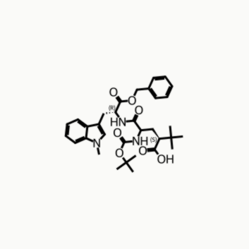 Cn1cc(C[C@@H](NC(=O)C(C[C@H](C(=O)O)C(C)(C)C)NC(=O)OC(C)(C)C)C(=O)OCc2ccccc2)c2ccccc21